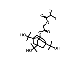 CCC(I)C(=O)OCC(=O)OC12CC3(C(C)(C)O)CC(C(C)(C)O)(C1)CC(C(C)(C)O)(C2)C3